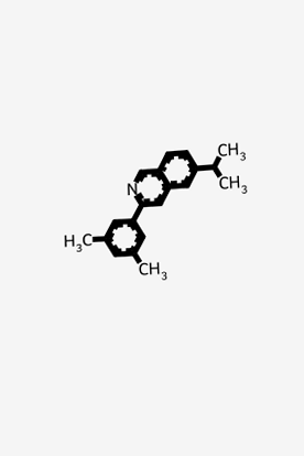 Cc1cc(C)cc(-c2cc3cc(C(C)C)ccc3cn2)c1